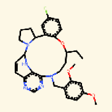 CCC1CCN(Cc2ccc(OC)cc2OC)c2ncnc3c2NC(C=C3)N2CCCC2c2cc(F)ccc2O1